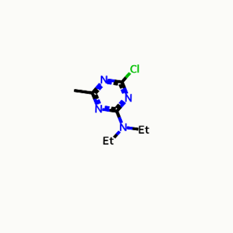 CCN(CC)c1nc(C)nc(Cl)n1